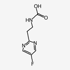 O=C(O)NCCc1ncc(F)cn1